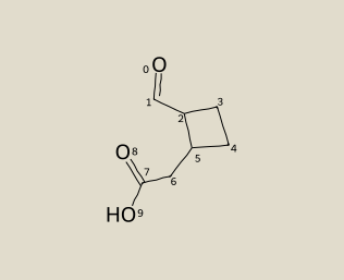 O=CC1CCC1CC(=O)O